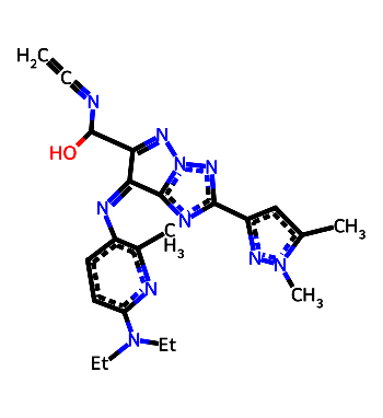 C=C=NC(O)C1=Nn2nc(-c3cc(C)n(C)n3)nc2/C1=N\c1ccc(N(CC)CC)nc1C